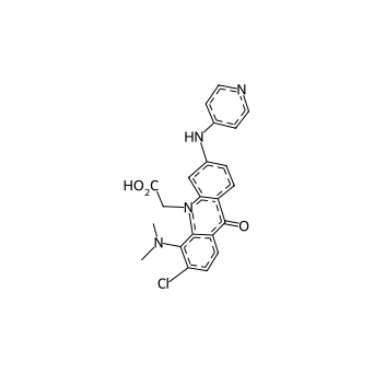 CN(C)c1c(Cl)ccc2c(=O)c3ccc(Nc4ccncc4)cc3n(CC(=O)O)c12